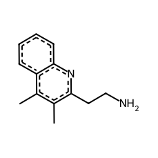 Cc1c(CCN)nc2ccccc2c1C